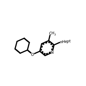 CCCCCCCc1ncc(OC2CCCCC2)cc1C